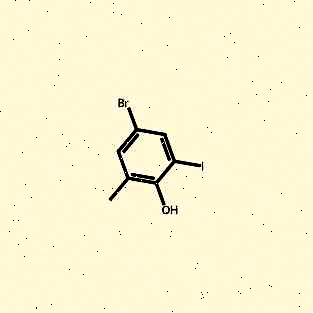 Cc1cc(Br)cc(I)c1O